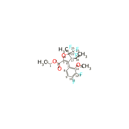 CCOC(=O)C1=C(c2ccc(F)c(F)c2OC)[C@H](CC)[C@](C)(C(F)(F)F)O1